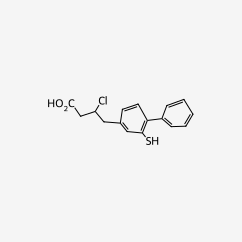 O=C(O)CC(Cl)Cc1ccc(-c2ccccc2)c(S)c1